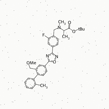 COCc1cc(-c2nc(-c3ccc(CN(C)C(C)C(=O)OC(C)(C)C)c(F)c3)no2)ccc1-c1ccccc1C